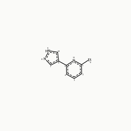 CCc1cccc(-c2cn[nH]c2)n1